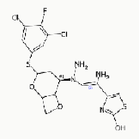 N/C(=C\N(N)[C@@H]1CC(Sc2cc(Cl)c(F)c(Cl)c2)OC2COC21)c1csc(O)n1